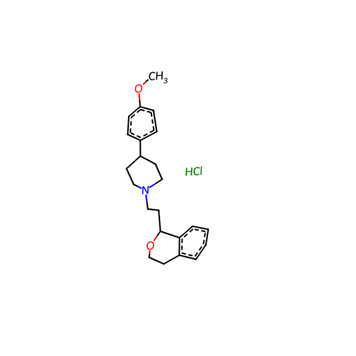 COc1ccc(C2CCN(CCC3OCCc4ccccc43)CC2)cc1.Cl